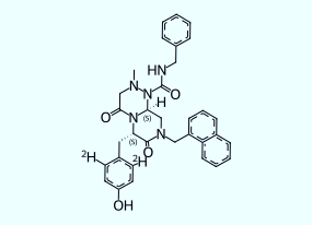 [2H]c1cc(O)cc([2H])c1C[C@H]1C(=O)N(Cc2cccc3ccccc23)C[C@H]2N1C(=O)CN(C)N2C(=O)NCc1ccccc1